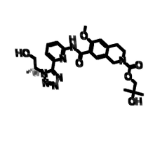 COc1cc2c(cc1C(=O)Nc1cccc(-c3nnnn3[C@H](C)CO)n1)CN(C(=O)OCC(C)(C)O)CC2